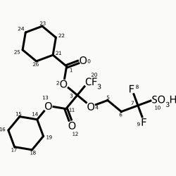 O=C(OC(OCCC(F)(F)S(=O)(=O)O)(C(=O)OC1CCCCC1)C(F)(F)F)C1CCCCC1